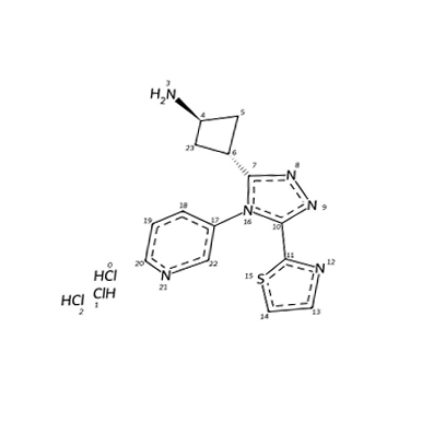 Cl.Cl.Cl.N[C@H]1C[C@H](c2nnc(-c3nccs3)n2-c2cccnc2)C1